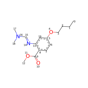 CCCCOc1ccc(C(=O)OC)c(N=CN(C)C)c1